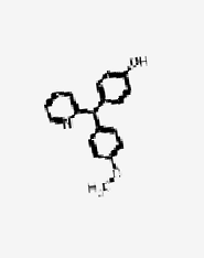 COc1ccc(C(c2ccc(O)cc2)c2ccccn2)cc1